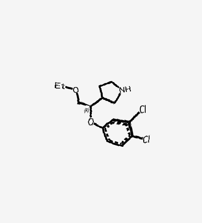 CCOC[C@H](Oc1ccc(Cl)c(Cl)c1)C1CCNC1